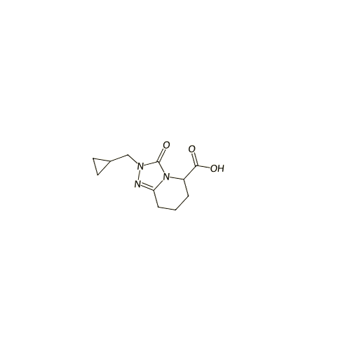 O=C(O)C1CCCc2nn(CC3CC3)c(=O)n21